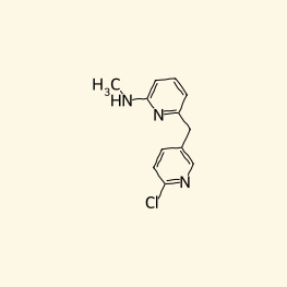 CNc1cccc(Cc2ccc(Cl)nc2)n1